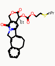 CCCSCCOC(=O)O[C@]1(CC)C(=O)OCc2c1cc1n(c2=O)CC2=C/c3ccccc3CC/C=C\21